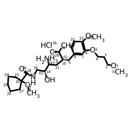 COCCCOc1cc(C[C@@H](C[C@H](N)[C@@H](O)CNC(=O)C2(OC)CCCCC2)C(C)C)ccc1OC.Cl